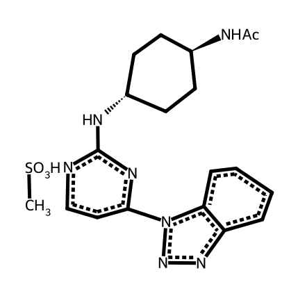 CC(=O)N[C@H]1CC[C@H](Nc2nccc(-n3nnc4ccccc43)n2)CC1.CS(=O)(=O)O